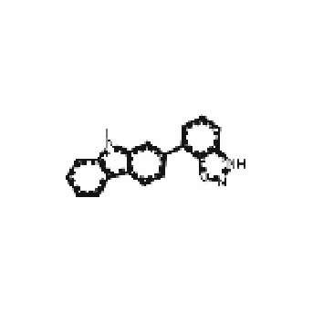 [c]1c(-c2cccc3[nH]nnc23)ccc2c1[nH]c1ccccc12